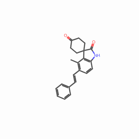 Cc1c(/C=C/c2ccccc2)ccc2c1C1(CCC(=O)CC1)C(=O)N2